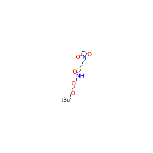 CC(C)(C)CCOCCOCCNC(=O)CCCCCN1C(=O)C=CC1=O